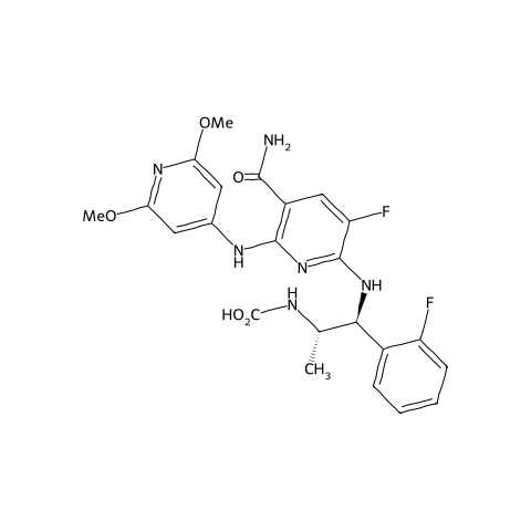 COc1cc(Nc2nc(N[C@@H](c3ccccc3F)[C@H](C)NC(=O)O)c(F)cc2C(N)=O)cc(OC)n1